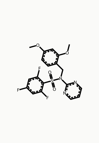 COc1ccc(CN(c2ncccn2)S(=O)(=O)c2c(F)cc(F)cc2F)c(OC)c1